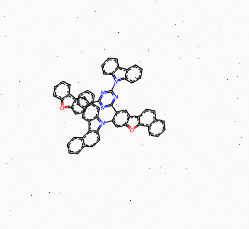 c1ccc2cc3c(cc2c1)c1c2ccccc2ccc1n3-c1cc2oc3c4ccccc4ccc3c2cc1-c1nc(-c2ccc3oc4ccccc4c3c2)nc(-n2c3ccccc3c3ccccc32)n1